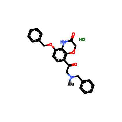 CC(C)(C)N(CC(=O)c1ccc(OCc2ccccc2)c2c1OCC(=O)N2)Cc1ccccc1.Cl